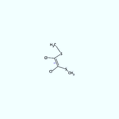 CS/C(Cl)=C(/Cl)SC